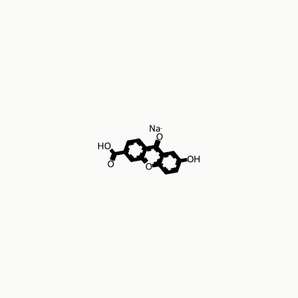 O=C(O)c1ccc2c(=O)c3cc(O)ccc3oc2c1.[Na]